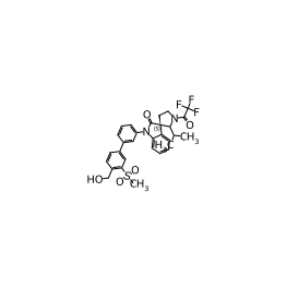 CC(C)C1N(C(=O)C(F)(F)F)CC[C@@]12C(=O)N(c1cccc(-c3ccc(CO)c(S(C)(=O)=O)c3)c1)c1ccccc12